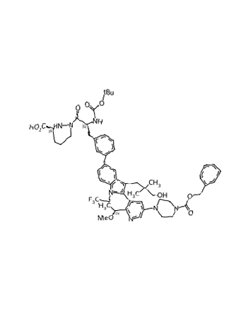 CO[C@@H](C)c1ncc(N2CCN(C(=O)OCc3ccccc3)CC2)cc1-c1c(CC(C)(C)CO)c2cc(-c3cccc(C[C@H](NC(=O)OC(C)(C)C)C(=O)N4CCC[C@@H](C(=O)O)N4)c3)ccc2n1CC(F)(F)F